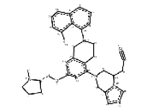 CN1CCC[C@H]1COc1nc2c(c(N3Cc4cncn4C(CC#N)C3)n1)CCN(c1cccc3cccc(Cl)c13)C2